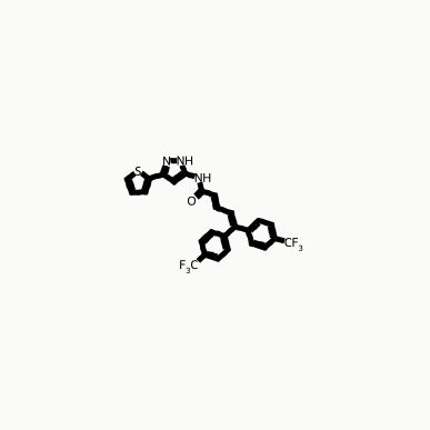 O=C(C=CC=C(c1ccc(C(F)(F)F)cc1)c1ccc(C(F)(F)F)cc1)Nc1cc(-c2cccs2)n[nH]1